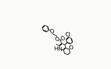 CC1=C(C(=O)OCCOc2ccccc2)C(c2cccc(Cl)c2)C2=C(CCCC2=O)N1